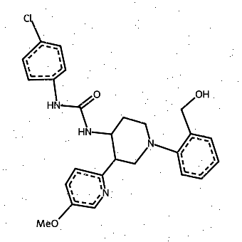 COc1ccc(C2CN(c3ccccc3CO)CCC2NC(=O)Nc2ccc(Cl)cc2)nc1